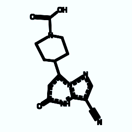 N#Cc1cnn2c(C3CCN(C(=O)O)CC3)cc(=O)[nH]c12